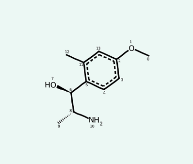 COc1ccc([C@H](O)[C@@H](C)N)c(C)c1